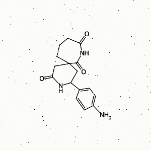 Nc1ccc(C2CC3(CCCC(=O)NC3=O)CC(=O)N2)cc1